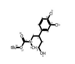 CN(CC(CCO)c1ccc(Cl)c(Cl)c1)C(=O)OC(C)(C)C